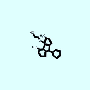 Cc1ccc2c(c1OCCO)-c1c(C)cccc1C2c1ccccc1